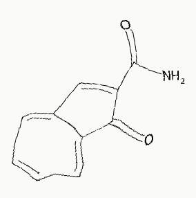 NC(=O)C1=Cc2ccccc2C1=O